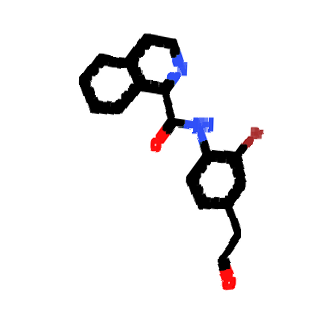 O=CCc1ccc(NC(=O)c2nccc3ccccc23)c(Br)c1